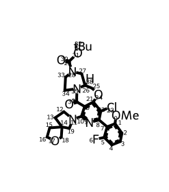 COc1cccc(F)c1-c1nc(N2CCC3(CCOC3)C2)c2c(c1Cl)OC[C@H]1CN(C(=O)OC(C)(C)C)CCN1C2=O